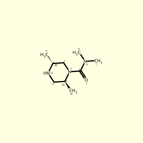 C[C@@H]1CN(C(=O)N(C)C)[C@@H](C)CN1